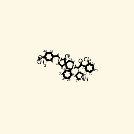 COc1ccc(CN2CCC3(CCN(C(C(=O)c4ccccc4Cl)[C@@H]4CNC[C@@H]4c4ccccc4)CC3)C2=O)cc1